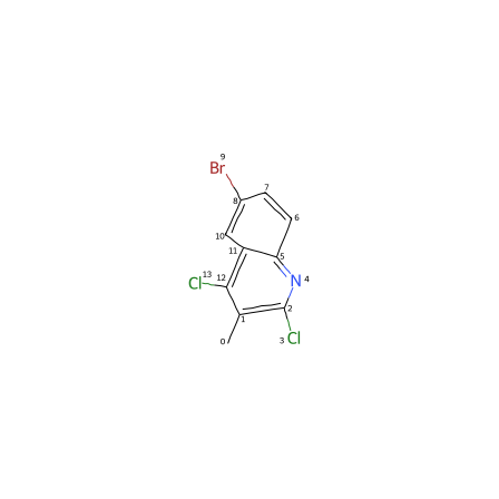 Cc1c(Cl)nc2ccc(Br)cc2c1Cl